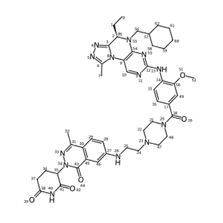 CC[C@@H]1c2nnc(C)n2-c2cnc(Nc3ccc(C(=O)N4CCN(CCNc5ccc6c(C)nn(C7CCC(=O)NC7=O)c(=O)c6c5)CC4)cc3OC)nc2N1CC1CCCCC1